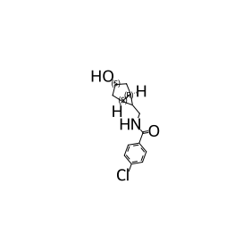 O=C(NCC1[C@H]2C[C@H](O)C[C@@H]12)c1ccc(Cl)cc1